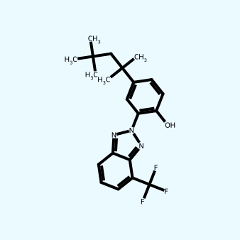 CC(C)(C)CC(C)(C)c1ccc(O)c(-n2nc3cccc(C(F)(F)F)c3n2)c1